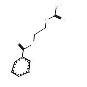 NC(=O)NCCOC(=O)c1ccccc1